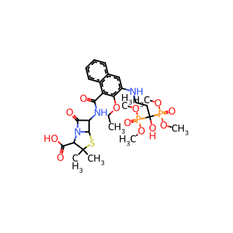 CCOc1c(NCCC(O)(P(=O)(OC)OC)P(=O)(OC)OC)cc2ccccc2c1C(=O)NC1C(=O)N2C1SC(C)(C)C2C(=O)O